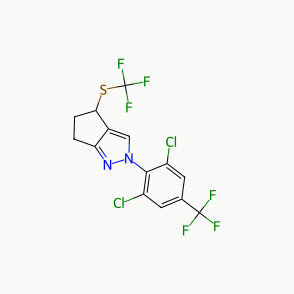 FC(F)(F)SC1CCc2nn(-c3c(Cl)cc(C(F)(F)F)cc3Cl)cc21